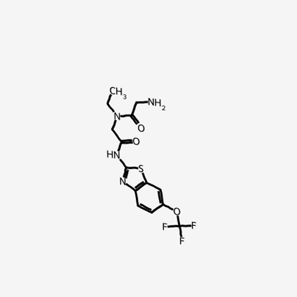 CCN(CC(=O)Nc1nc2ccc(OC(F)(F)F)cc2s1)C(=O)CN